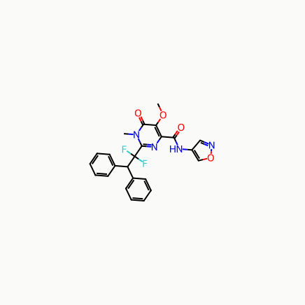 COc1c(C(=O)Nc2cnoc2)nc(C(F)(F)C(c2ccccc2)c2ccccc2)n(C)c1=O